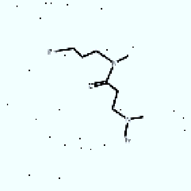 CC(C)CCCN(C)C(=O)CCN(C)C(C)C